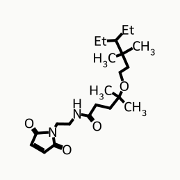 CCC(CC)C(C)(C)CCOC(C)(C)CCC(=O)NCCN1C(=O)C=CC1=O